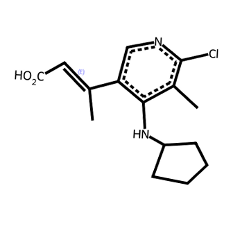 C/C(=C\C(=O)O)c1cnc(Cl)c(C)c1NC1CCCC1